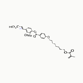 C=C(C)C(=O)OCCCCCCCCOc1ccc(C(=O)Oc2ccc(/C=C/C(=O)O)cc2OC)cc1